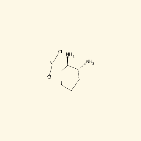 N[C@@H]1CCCC[C@H]1N.[Cl][Ni][Cl]